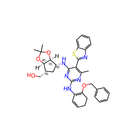 Cc1nc(NC2=C(OCc3ccccc3)CCC=C2)nc(N[C@@H]2C[C@H](CO)[C@H]3OC(C)(C)O[C@H]32)c1-c1nc2ccccc2s1